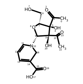 CC(=O)[C@@]1(O)[C@@H](CO)O[C@@H](N2C=CC=C(C(=O)O)C2)[C@@]1(O)C(C)=O